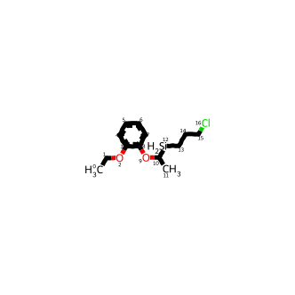 CCOc1ccccc1OC(C)[SiH2]CCCCl